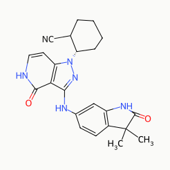 CC1(C)C(=O)Nc2cc(Nc3nn([C@H]4CCCCC4C#N)c4cc[nH]c(=O)c34)ccc21